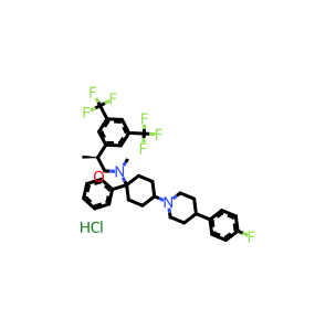 C[C@H](C(=O)N(C)C1(c2ccccc2)CCC(N2CCC(c3ccc(F)cc3)CC2)CC1)c1cc(C(F)(F)F)cc(C(F)(F)F)c1.Cl